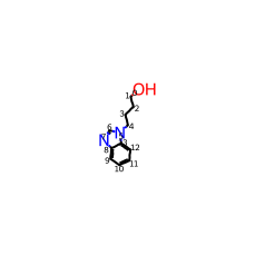 OCCCCn1cnc2ccccc21